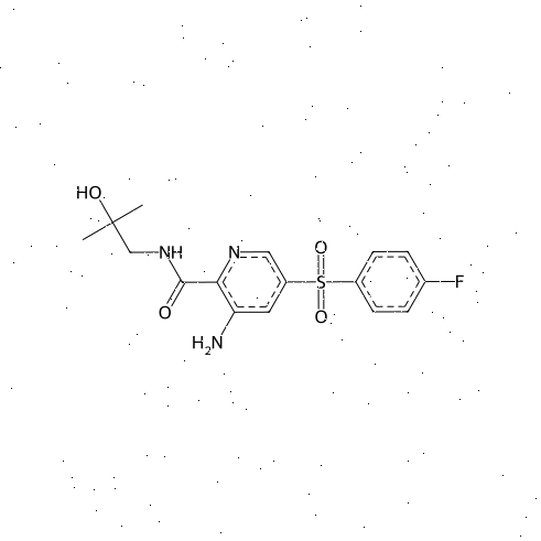 CC(C)(O)CNC(=O)c1ncc(S(=O)(=O)c2ccc(F)cc2)cc1N